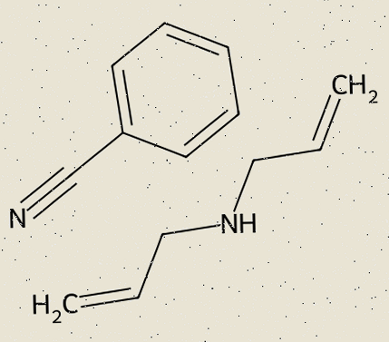 C=CCNCC=C.N#Cc1ccccc1